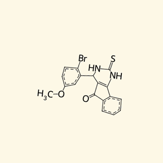 COc1ccc(Br)c(C2NC(=S)NC3=C2C(=O)c2ccccc23)c1